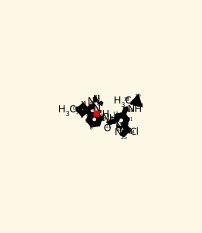 CC1CC(c2cccc(NC(=O)c3cc(CNC4(C)CC4)cc4c(Cl)cnn34)c2)(c2nncn2C)C1